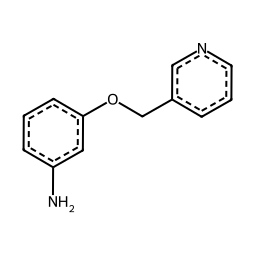 Nc1cccc(OCc2cccnc2)c1